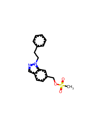 CS(=O)(=O)OCc1ccc2cnn(CCc3ccccc3)c2c1